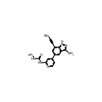 CCCNC(=O)Nc1cc(-c2cc(C#CC(C)(C)C)c3[nH]nc(N)c3c2)ccn1